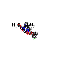 CCOC(=O)c1c(CCCOc2cccc3cc(F)ccc23)c2ccc(Cl)c3c2n1CCCCN(C(=O)OCCOC)Cc1nn(C)c(CC)c1-3